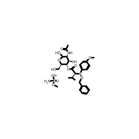 COP(N)(=O)O.COc1ccc(N(OCc2ccccc2)[C@H](C(=O)O[C@H]2[C@H](O)[C@@H](NC(C)=O)C(O)O[C@@H]2CO)C(C)C)cc1